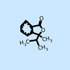 CC(C)C1(C)OC(=O)c2ccccc21